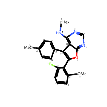 CCCCCCNc1ncnc2oc(-c3c(F)cccc3OC)c(-c3ccc(OC)cc3)c12